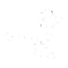 c1ccc(-c2ccc(-c3ccc(N(c4cccc(-c5cccc6c5Oc5ccccc5C65c6ccccc6Oc6ccccc65)c4)c4cc5ccccc5c5oc6ccccc6c45)cc3)cc2)cc1